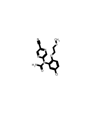 CSCCOc1ccc(Cl)cc1N(C(N)=O)c1cnc(C#N)cn1